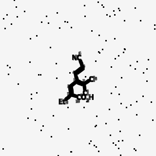 CCC(=CC(C=CC#N)=C(Cl)Cl)C(=O)O